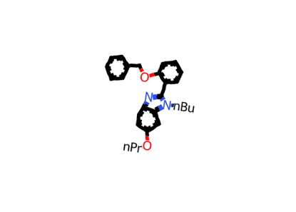 [CH2]CCOc1ccc2nc(-c3ccccc3OCc3ccccc3)n(CCCC)c2c1